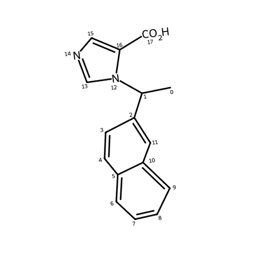 CC(c1ccc2ccccc2c1)n1cncc1C(=O)O